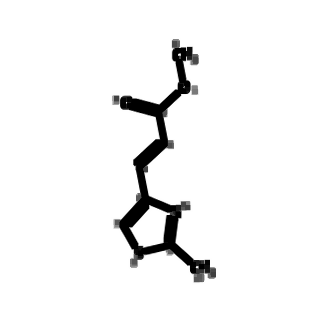 COC(=O)C=Cc1csc(C)n1